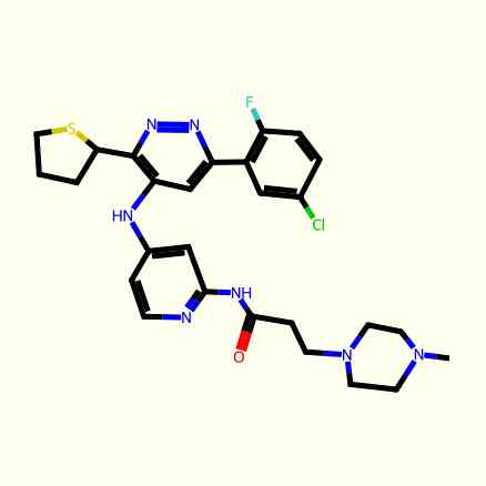 CN1CCN(CCC(=O)Nc2cc(Nc3cc(-c4cc(Cl)ccc4F)nnc3C3CCCS3)ccn2)CC1